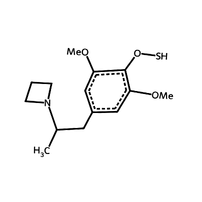 COc1cc(CC(C)N2CCC2)cc(OC)c1OS